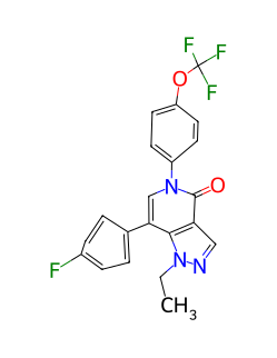 CCn1ncc2c(=O)n(-c3ccc(OC(F)(F)F)cc3)cc(-c3ccc(F)cc3)c21